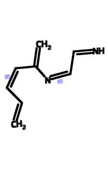 C=C/C=C\C(=C)/N=C\C=N